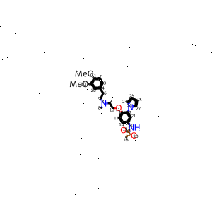 COc1ccc(CCN(C)CCOc2ccc(NS(C)(=O)=O)cc2-n2cccc2)cc1OC